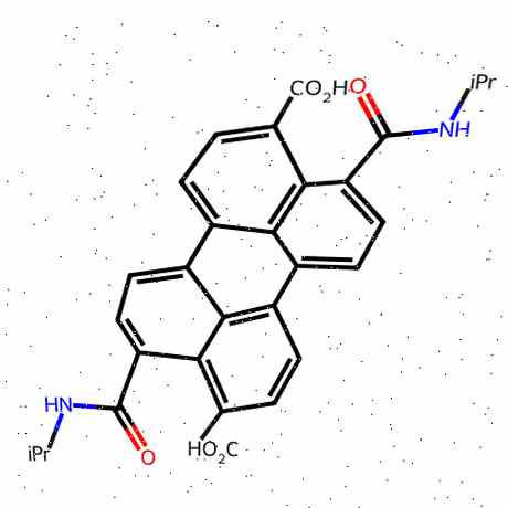 CC(C)NC(=O)c1ccc2c3ccc(C(=O)O)c4c(C(=O)NC(C)C)ccc(c5ccc(C(=O)O)c1c52)c43